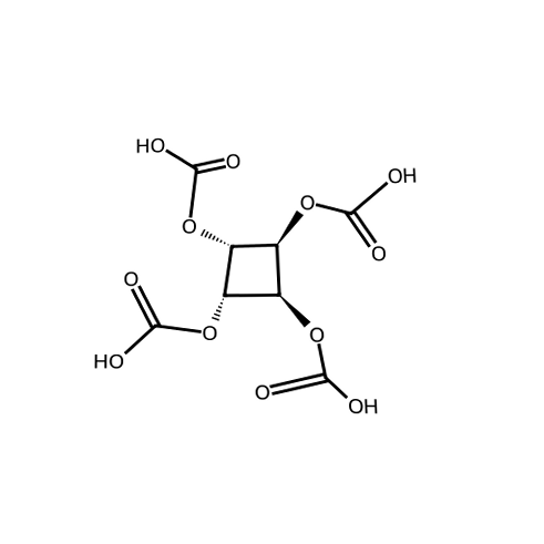 O=C(O)O[C@H]1[C@H](OC(=O)O)[C@H](OC(=O)O)[C@H]1OC(=O)O